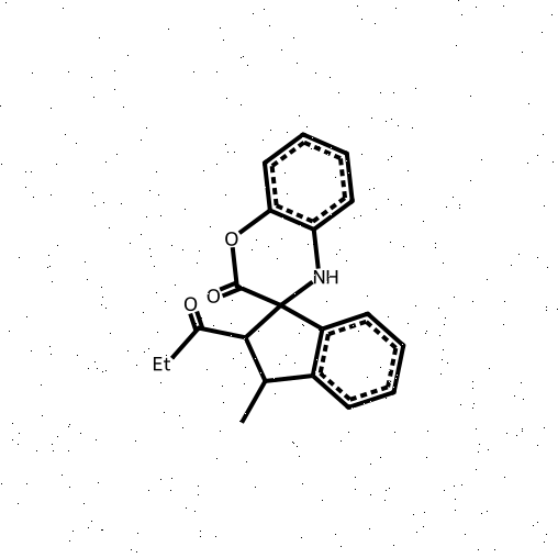 CCC(=O)C1C(C)c2ccccc2C12Nc1ccccc1OC2=O